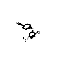 N#Cc1ccc(Oc2cc(N)ccc2Cl)cc1